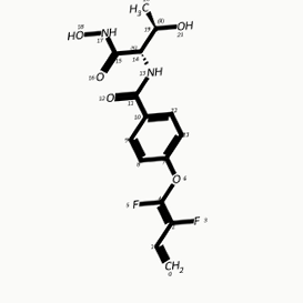 C=CC(F)=C(F)Oc1ccc(C(=O)N[C@H](C(=O)NO)[C@@H](C)O)cc1